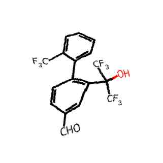 O=Cc1ccc(-c2ccccc2C(F)(F)F)c(C(O)(C(F)(F)F)C(F)(F)F)c1